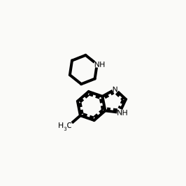 C1CCNCC1.Cc1ccc2nc[nH]c2c1